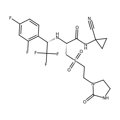 N#CC1(NC(=O)[C@H](CS(=O)(=O)CCN2CCNC2=O)N[C@@H](c2ccc(F)cc2F)C(F)(F)F)CC1